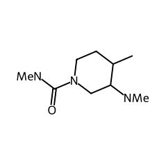 CNC(=O)N1CCC(C)C(NC)C1